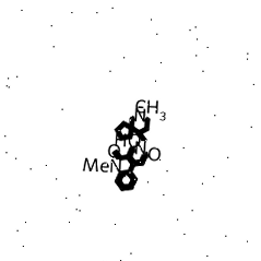 CNC(=O)c1cn(CC2(O)CCN(C)CC23CCCC3)c(=O)cc1-c1ccccc1